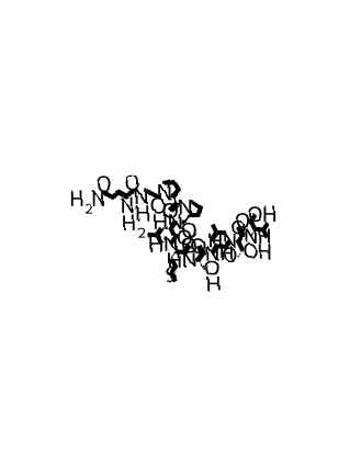 CSCC[C@H](NC(=O)[C@H](CC(C)C)NC(=O)[C@@H]1CCCN1C(=O)[C@@H]1CCCN1C(=O)CNC(=O)[C@@H](N)CCC(N)=O)C(=O)N[C@@H](CO)C(=O)N[C@@H](CC(C)C)C(=O)N[C@H](C(=O)N[C@H](C(=O)O)C(C)C)[C@@H](C)O